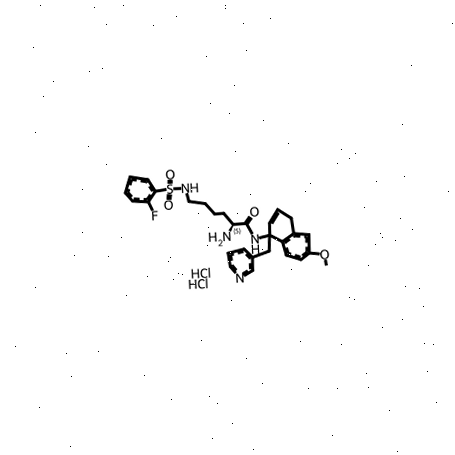 COc1ccc2c(c1)CC=CC2(Cc1cccnc1)NC(=O)[C@@H](N)CCCCNS(=O)(=O)c1ccccc1F.Cl.Cl